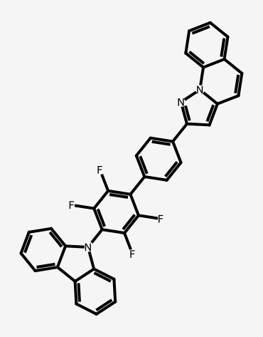 Fc1c(F)c(-n2c3ccccc3c3ccccc32)c(F)c(F)c1-c1ccc(-c2cc3ccc4ccccc4n3n2)cc1